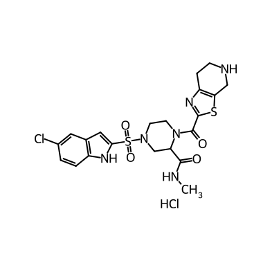 CNC(=O)C1CN(S(=O)(=O)c2cc3cc(Cl)ccc3[nH]2)CCN1C(=O)c1nc2c(s1)CNCC2.Cl